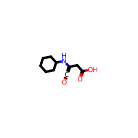 O=C=C(CC(=O)O)NC1CCCCC1